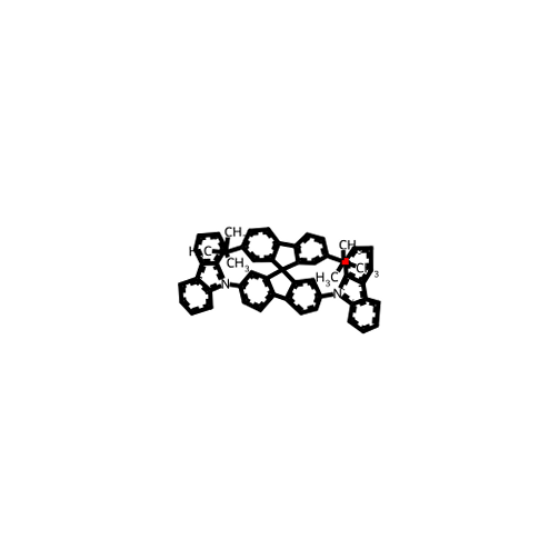 CC(C)(C)c1ccc2c(c1)C1(c3cc(-n4c5ccccc5c5ccccc54)ccc3-c3ccc(-n4c5ccccc5c5ccccc54)cc31)c1cc(C(C)(C)C)ccc1-2